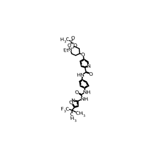 CC[N+]1(OS(C)(=O)=O)CCC(Oc2ccc(C(=O)Nc3ccc(NC(=O)Nc4cc(C(C)(C)C(F)(F)F)on4)cc3)nc2)CC1